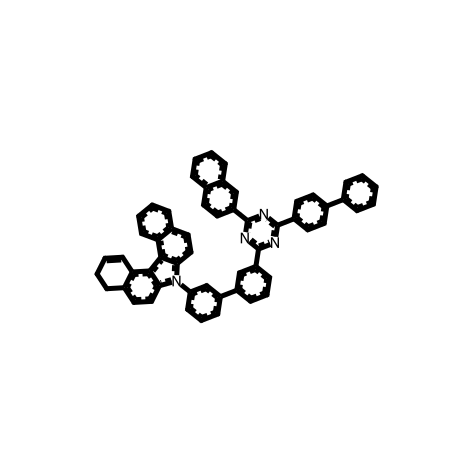 C1=Cc2c(ccc3c2c2c4ccccc4ccc2n3-c2cccc(-c3cccc(-c4nc(-c5ccc(-c6ccccc6)cc5)nc(-c5ccc6ccccc6c5)n4)c3)c2)CC1